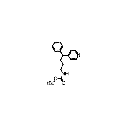 CC(C)(C)OC(=O)NCCCC(c1ccccc1)c1ccncc1